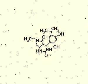 CCN1C=C2NC(=O)NC(c3cc(C(C)C)c(O)cc3O)C2C1=O